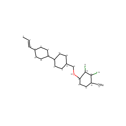 C/C=C/C1CCC(C2CCC(COC3CCC(OC)C(F)C3F)CC2)CC1